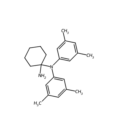 Cc1cc(C)cc(N(c2cc(C)cc(C)c2)C2(N)CCCCC2)c1